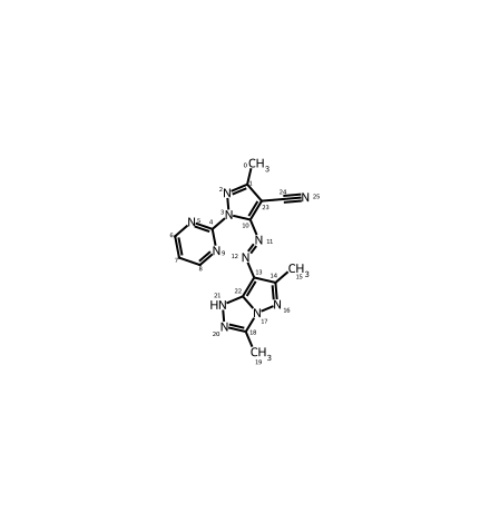 Cc1nn(-c2ncccn2)c(/N=N/c2c(C)nn3c(C)n[nH]c23)c1C#N